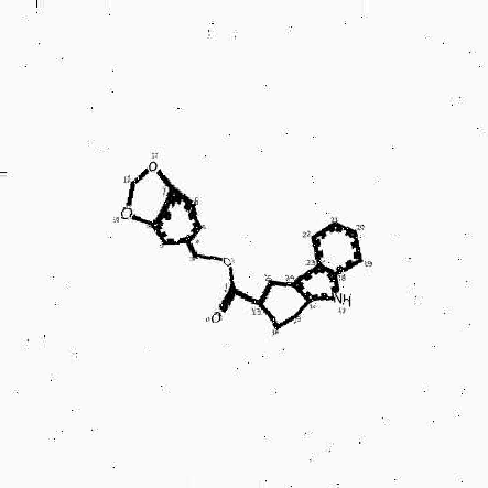 O=C(OCc1ccc2c(c1)OCO2)C1CCc2[nH]c3ccccc3c2C1